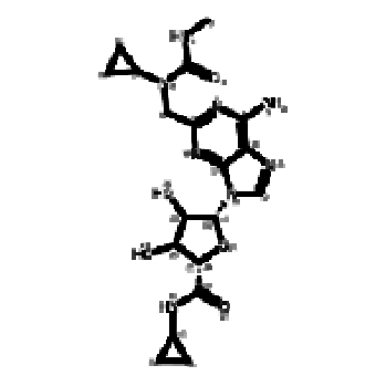 CNC(=O)N(Cc1nc(N)c2ncn([C@@H]3O[C@H](C(=O)NC4CC4)C(O)C3O)c2n1)C1CC1